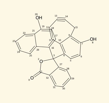 O=C1OC(c2ccc(O)c3c2C=CC#CC3)(c2ccc(O)c3ccccc23)c2ccccc21